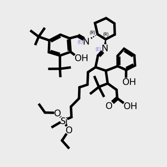 CCO[Si](C)(CCCCCCC(/C=N/[C@@H]1CCCC[C@H]1/N=C/c1cc(C(C)(C)C)cc(C(C)(C)C)c1O)C(c1ccccc1O)C(CC(=O)O)C(C)(C)C)OCC